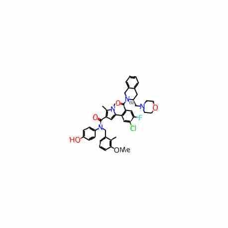 COc1cccc(CN(C(=O)c2cc(-c3cc(Cl)c(F)cc3C(=O)N3Cc4ccccc4C[C@H]3CN3CCOCC3)n(C)c2C)c2ccc(O)cc2)c1C